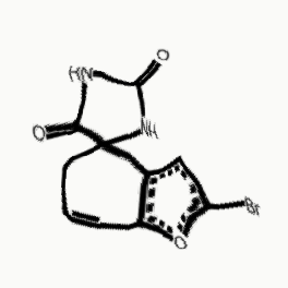 O=C1NC(=O)C2(CC=Cc3oc(Br)cc32)N1